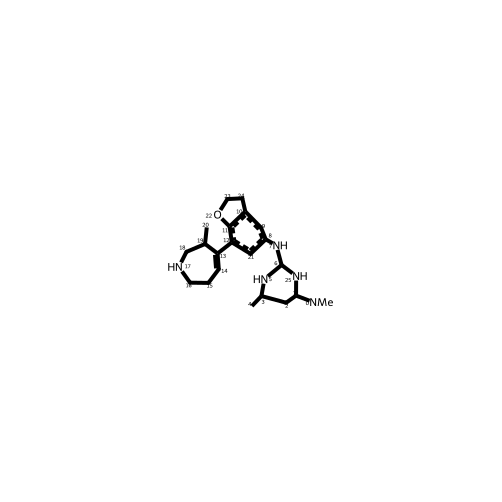 CNC1CC(C)NC(Nc2cc3c(c(C4=CCCNCC4C)c2)OCC3)N1